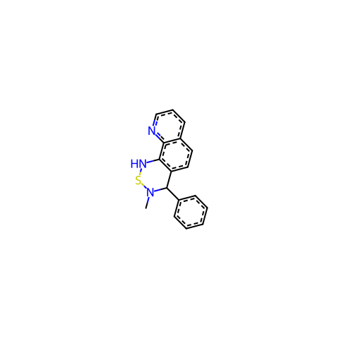 CN1SNc2c(ccc3cccnc23)C1c1ccccc1